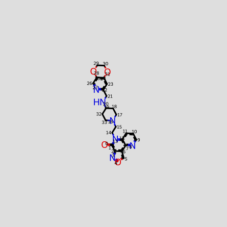 O=c1c2nocc2c2ncccc2n1CCN1CCC(NCc2cc3c(cn2)OCCO3)CC1